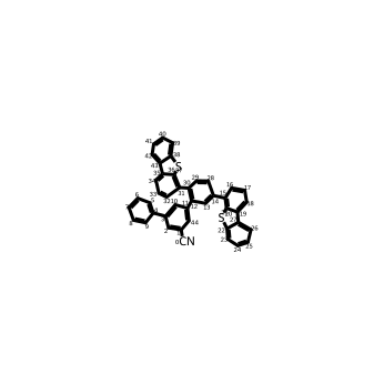 N#Cc1cc(-c2ccccc2)cc(-c2cc(-c3cccc4c3sc3ccccc34)ccc2-c2cccc3c2sc2ccccc23)c1